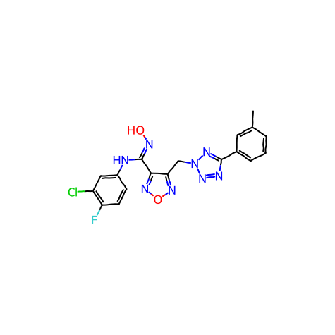 Cc1cccc(-c2nnn(Cc3nonc3C(=NO)Nc3ccc(F)c(Cl)c3)n2)c1